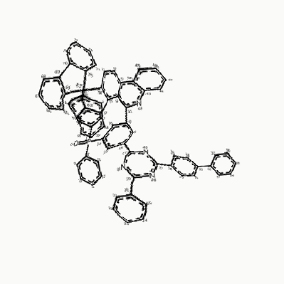 O=P(c1ccccc1)(c1ccccc1)c1cc(-c2nc(-c3ccccc3)nc(-c3ccc(-c4ccccc4)cc3)n2)cc(-c2nc3ccccc3c3ccc4c(c23)-c2ccccc2C42c3ccccc3-c3ccccc32)c1